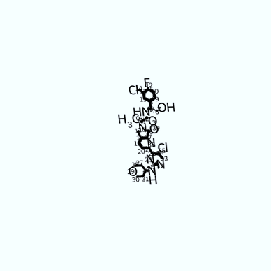 C[C@H](C(=O)N[C@H](CO)c1ccc(F)c(Cl)c1)N1Cc2ccc(-c3nc(NC4CCOCC4)ncc3Cl)nc2C1=O